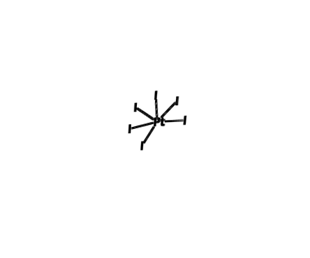 [I][Pt]([I])([I])([I])([I])[I]